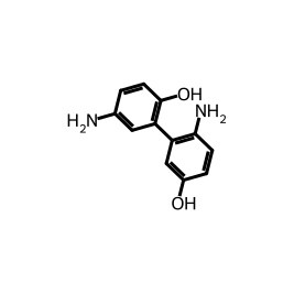 Nc1ccc(O)c(-c2cc(O)ccc2N)c1